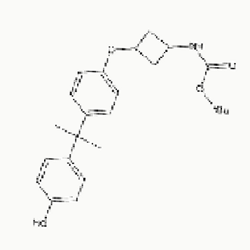 CC(C)(C)OC(=O)NC1CC(Oc2ccc(C(C)(C)c3ccc(O)cc3)cc2)C1